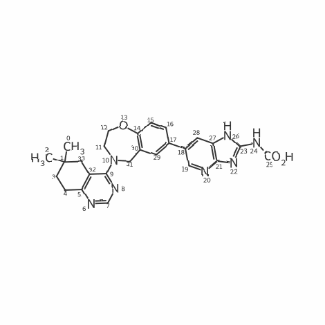 CC1(C)CCc2ncnc(N3CCOc4ccc(-c5cnc6nc(NC(=O)O)[nH]c6c5)cc4C3)c2C1